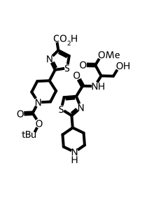 CC(C)(C)OC(=O)N1CCC(c2nc(C(=O)O)cs2)CC1.COC(=O)C(CO)NC(=O)c1csc(C2CCNCC2)n1